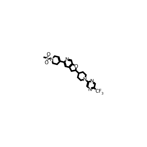 CS(=O)(=O)N1CC=C(c2cc3c(cn2)OC(C2CCN(c4cnc(C(F)(F)F)cn4)CC2)C3)CC1